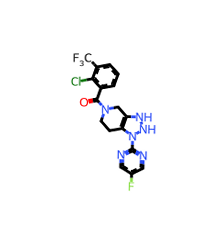 O=C(c1cccc(C(F)(F)F)c1Cl)N1CCC2=C(C1)NNN2c1ncc(F)cn1